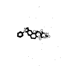 CC12Cc3cnn(-c4ccccc4)c3C=C1CCC1OC3(CC=C12)C(=O)NC(=O)NC3=O